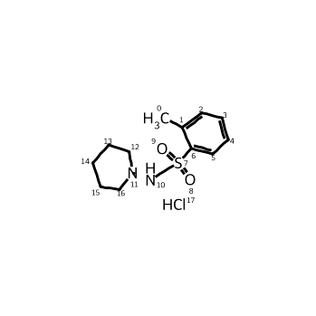 Cc1ccccc1S(=O)(=O)NN1CCCCC1.Cl